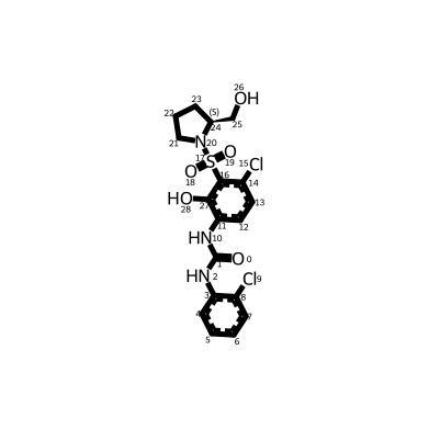 O=C(Nc1ccccc1Cl)Nc1ccc(Cl)c(S(=O)(=O)N2CCC[C@H]2CO)c1O